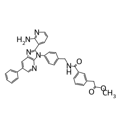 COC(=O)Cc1cccc(C(=O)NCc2ccc(-n3c(-c4cccnc4N)nc4cc(-c5ccccc5)cnc43)cc2)c1